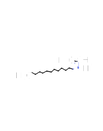 CCCCCCCCCCCCCN(C)C(C)C